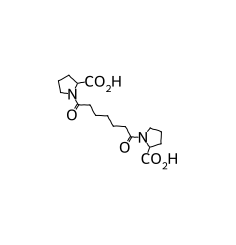 O=C(O)C1CCCN1C(=O)CCCCCC(=O)N1CCCC1C(=O)O